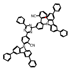 N#Cc1ccccc1-c1cc(-c2nc(-c3ccccc3)nc(-c3ccc(-n4c5ccc(-c6ccccc6)cc5c5cc(-c6ccccc6)ccc54)c(C#N)c3)n2)ccc1-n1c2ccc(-c3ccccc3)cc2c2cc(-c3ccccc3)ccc21